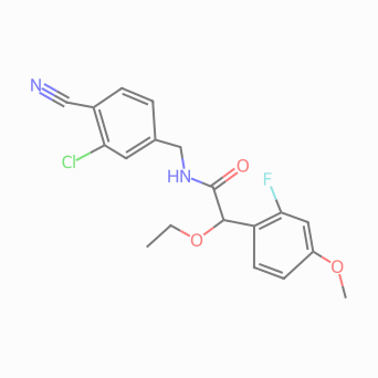 CCOC(C(=O)NCc1ccc(C#N)c(Cl)c1)c1ccc(OC)cc1F